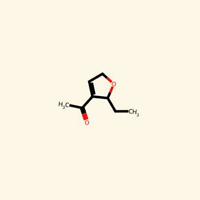 CCC1OCC=C1C(C)=O